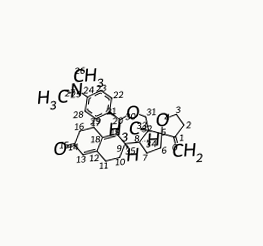 C=C1CCOC12CC[C@H]1[C@@H]3CCC4=CC(=O)CCC4=C3[C@@H](c3ccc(N(C)C)cc3)OC[C@@]12C